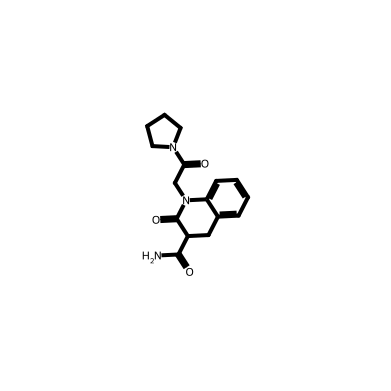 NC(=O)C1Cc2ccccc2N(CC(=O)N2CCCC2)C1=O